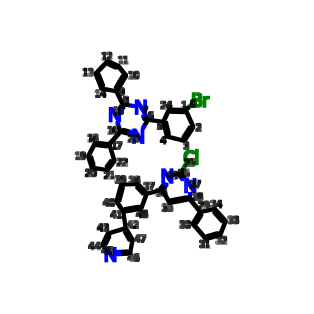 Brc1cccc(-c2nc(-c3ccccc3)nc(-c3ccccc3)n2)c1.Clc1nc(-c2ccccc2)cc(-c2cccc(-c3ccncc3)c2)n1